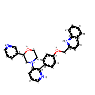 c1cncc(C2CN(c3cccnc3-c3ccc(OCc4ccc5ccccc5n4)cc3)CCO2)c1